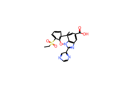 CCc1cccc(S(=O)(=O)CC)c1On1c(-c2cnccn2)nc2cc(C(=O)O)ccc21